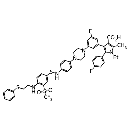 CCn1c(C)c(C(=O)O)c(-c2cc(F)cc(N3CCN(c4ccc(NSc5ccc(NCCSc6ccccc6)c(S(=O)(=O)C(F)(F)F)c5)cc4)CC3)c2)c1-c1ccc(F)cc1